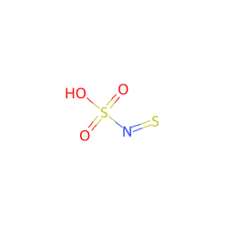 O=S(=O)(O)N=S